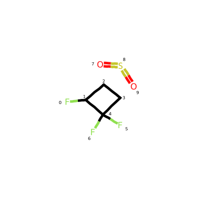 FC1CCC1(F)F.O=S=O